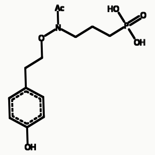 CC(=O)N(CCCP(=O)(O)O)OCCc1ccc(O)cc1